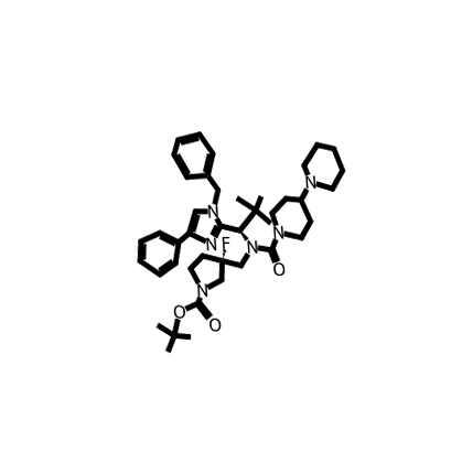 CC(C)(C)OC(=O)N1CC[C@@](F)(CN(C(=O)N2CCC(N3CCCCC3)CC2)[C@@H](c2nc(-c3ccccc3)cn2Cc2ccccc2)C(C)(C)C)C1